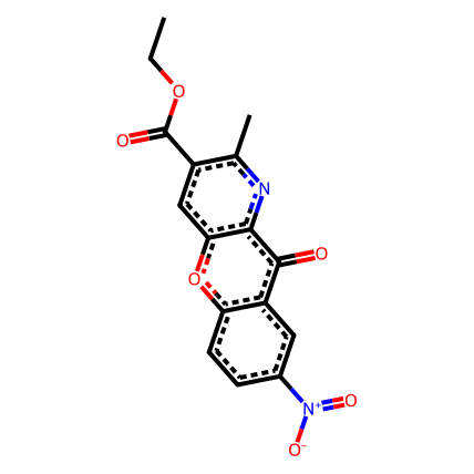 CCOC(=O)c1cc2oc3ccc([N+](=O)[O-])cc3c(=O)c2nc1C